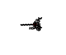 CCCCCCCCCCCC(=O)O[C@@]12[C@H](OC(=O)C(C)CC)[C@@H](C)[C@@]3(O)[C@@H](C=C(CO)C[C@]4(O)C(=O)C(C)=C[C@@H]34)[C@H]1C2(C)C